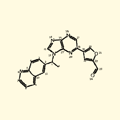 CC(c1ccc2ncccc2c1)n1cnc2ncc(-c3coc(C=O)c3)nc21